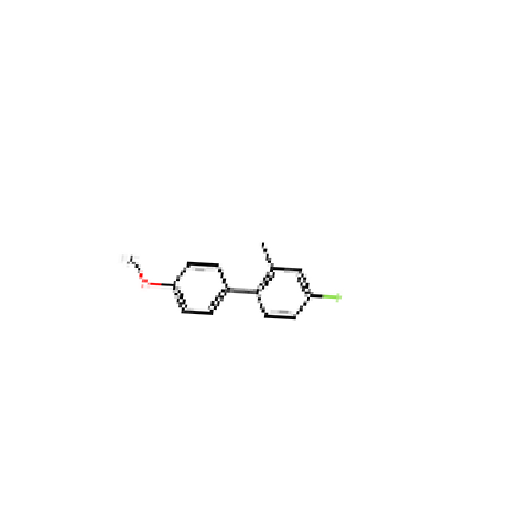 Cc1cc(F)ccc1-c1ccc(OC(F)(F)F)cc1